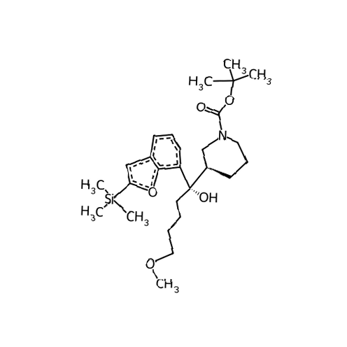 COCCCC[C@@](O)(c1cccc2cc([Si](C)(C)C)oc12)[C@@H]1CCCN(C(=O)OC(C)(C)C)C1